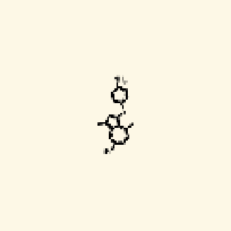 Cc1cc(Sc2ccc(N)cc2)c2c(C)ccc(C(C)C)cc1-2